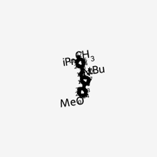 COc1ccc(-c2ccc3c(c2)cc(-c2ccc(C)c(C(C)C)c2)n3C(C)(C)C)cc1